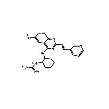 COc1ccc2nc(/C=C/c3cccnc3)nc(NC3CCCCC3NC(=N)N)c2c1